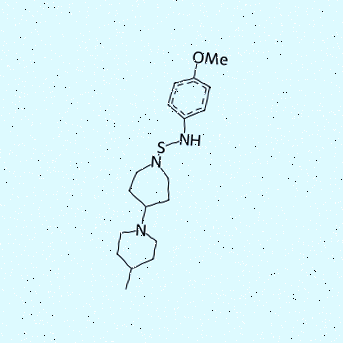 COc1ccc(NSN2CCC(N3CCC(C)CC3)CC2)cc1